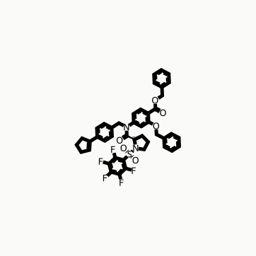 O=C(OCc1ccccc1)c1ccc(N(Cc2ccc(C3=CCCC3)cc2)C(=O)[C@H]2CCCN2S(=O)(=O)c2c(F)c(F)c(F)c(F)c2F)cc1OCc1ccccc1